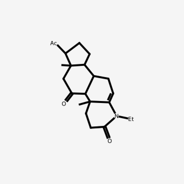 CCN1C(=O)CCC2(C)C1=CCC1C2C(=O)CC2(C)C(C(C)=O)CCC12